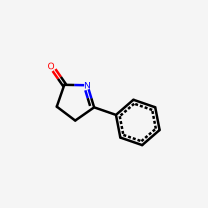 O=C1CCC(c2ccccc2)=N1